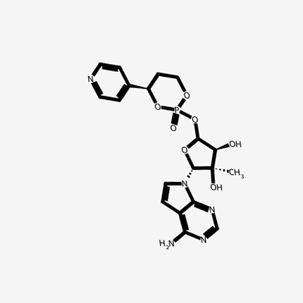 C[C@@]1(O)[C@H](O)C(OP2(=O)OCC[C@H](c3ccncc3)O2)O[C@H]1n1ccc2c(N)ncnc21